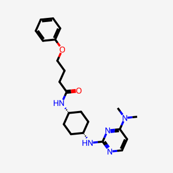 CN(C)c1ccnc(N[C@H]2CC[C@@H](NC(=O)CCCOc3ccccc3)CC2)n1